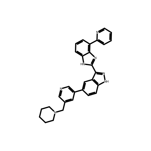 c1ccc(-c2cccc3[nH]c(-c4n[nH]c5ccc(-c6cncc(CN7CCCCC7)c6)cc45)nc23)nc1